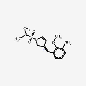 COc1c(N)cccc1/C=C1/CN(S(=O)(=O)N(C)C)C=N1